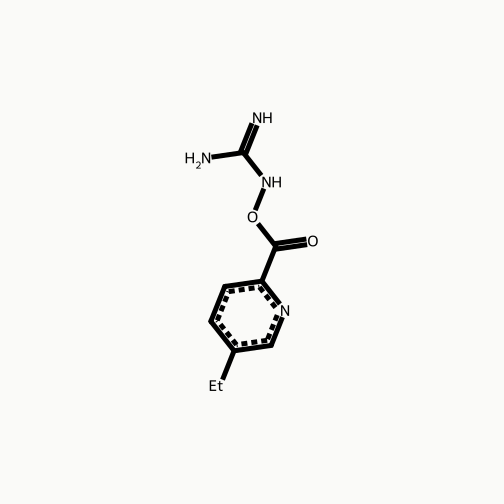 CCc1ccc(C(=O)ONC(=N)N)nc1